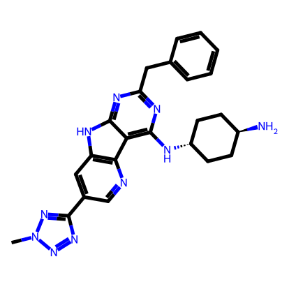 Cn1nnc(-c2cnc3c(c2)[nH]c2nc(Cc4ccccc4)nc(N[C@H]4CC[C@H](N)CC4)c23)n1